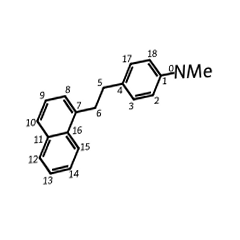 CNc1ccc(CCc2cccc3ccccc23)cc1